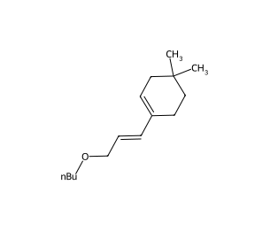 CCCCOCC=CC1=CCC(C)(C)CC1